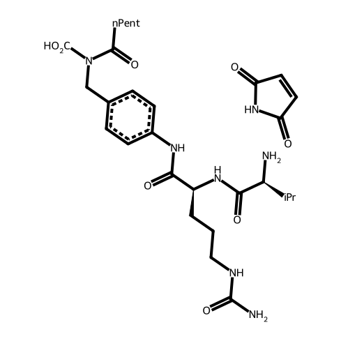 CCCCCC(=O)N(Cc1ccc(NC(=O)[C@H](CCCNC(N)=O)NC(=O)[C@@H](N)C(C)C)cc1)C(=O)O.O=C1C=CC(=O)N1